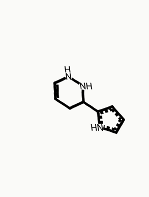 C1=CNNC(c2ccc[nH]2)C1